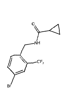 O=C(NCc1ccc(Br)cc1C(F)(F)F)C1CC1